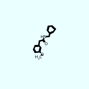 COc1[c]ccc(CC(=O)NCc2ccccc2)c1